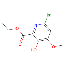 CCOC(=O)c1nc(Br)cc(OC)c1O